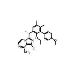 CCOc1c([C@@H](C)c2nc(Cl)c3c(N)nccn23)cc(C)c(C)c1-c1ccc(OC)cc1